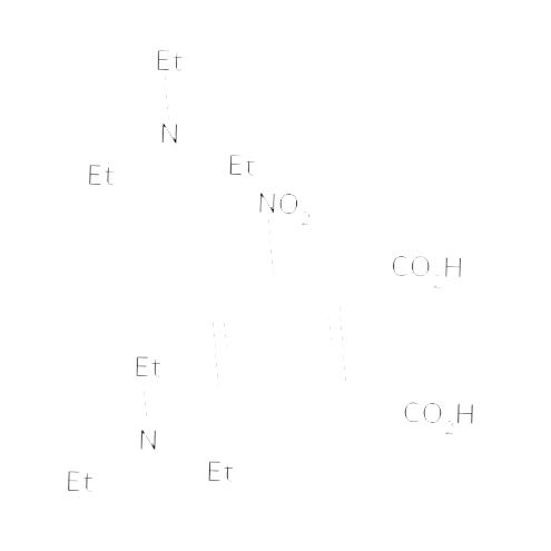 CCN(CC)CC.CCN(CC)CC.O=C(O)c1cccc([N+](=O)[O-])c1C(=O)O